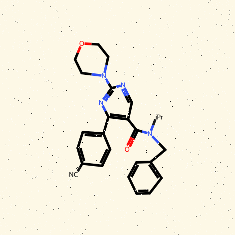 CC(C)N(Cc1ccccc1)C(=O)c1cnc(N2CCOCC2)nc1-c1ccc(C#N)cc1